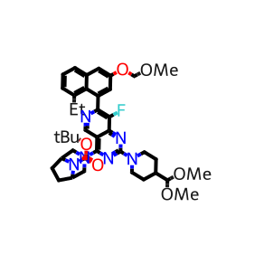 CCc1cccc2cc(OCOC)cc(-c3ncc4c(N5CC6CCC(C5)N6C(=O)OC(C)(C)C)nc(N5CCC(C(OC)OC)CC5)nc4c3F)c12